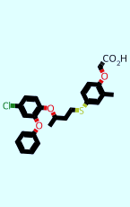 Cc1cc(SCCC(C)Oc2ccc(Cl)cc2Oc2ccccc2)ccc1OCC(=O)O